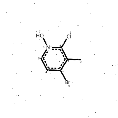 Cc1c(Br)cc[n+](O)c1Cl